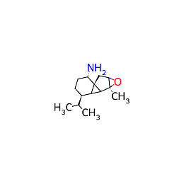 CC(C)[C@H]1CC[C@H](N)[C@]23CC4O[C@@]4(C)C2C13